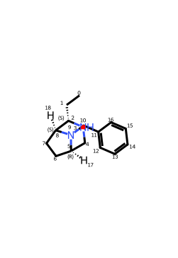 CC[C@@H]1NC[C@H]2CC[C@@H]1N2Cc1ccccc1